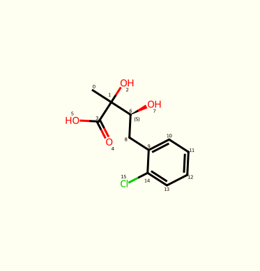 CC(O)(C(=O)O)[C@@H](O)Cc1ccccc1Cl